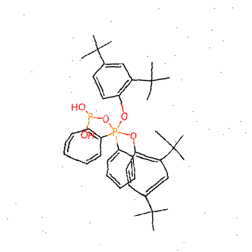 CC(C)(C)c1ccc(OP(Oc2ccc(C(C)(C)C)cc2C(C)(C)C)(OP(O)O)(c2ccccc2)c2ccccc2)c(C(C)(C)C)c1